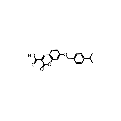 CC(C)c1ccc(COc2ccc3cc(C(=O)O)c(=O)oc3c2)cc1